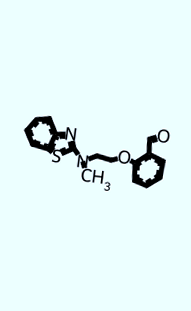 CN(CCOc1ccccc1C=O)c1nc2ccccc2s1